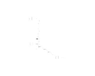 CCCCCCCCCCCCCCCCOC(=O)CC(O)C(=O)OCCCCCCCCCCCCCCCC